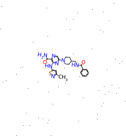 Cc1cc(Nc2nc(N3CCC(CNC(=O)c4ccccc4)CC3)cnc2C(N)=O)sn1